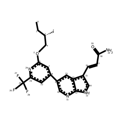 CC[C@H](C)COc1cc(-c2cnc3[nH]cc(/C=C/C(N)=O)c3c2)cc(C(F)(F)F)n1